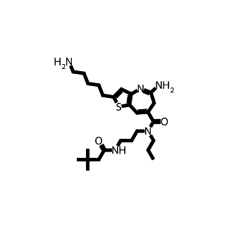 CCCN(CCCNC(=O)CC(C)(C)C)C(=O)C1=Cc2sc(CCCCCN)cc2N=C(N)C1